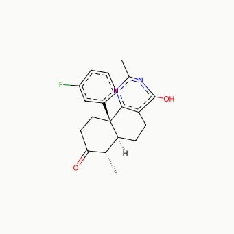 Cc1nc(O)c2c(n1)[C@@]1(c3cccc(F)c3)CCC(=O)[C@@H](C)[C@@H]1CC2